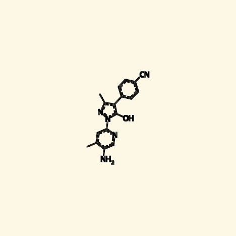 Cc1cc(-n2nc(C)c(-c3ccc(C#N)cc3)c2O)ncc1N